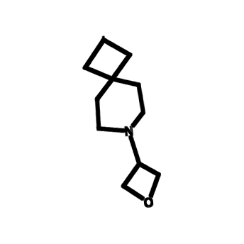 [CH]1CC2(C1)CCN(C1COC1)CC2